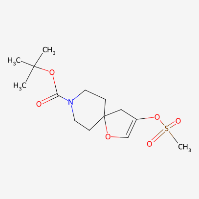 CC(C)(C)OC(=O)N1CCC2(CC1)CC(OS(C)(=O)=O)=CO2